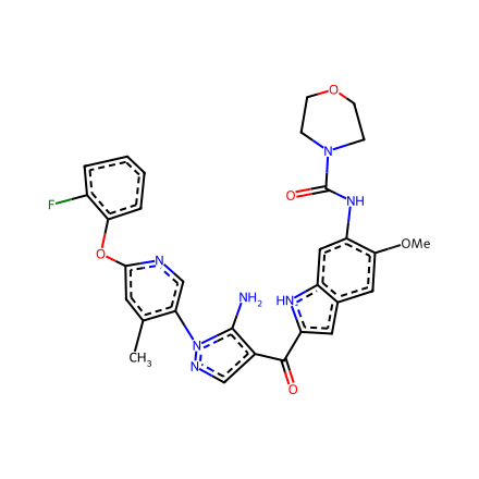 COc1cc2cc(C(=O)c3cnn(-c4cnc(Oc5ccccc5F)cc4C)c3N)[nH]c2cc1NC(=O)N1CCOCC1